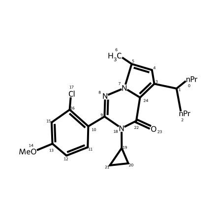 CCCC(CCC)c1cc(C)n2nc(-c3ccc(OC)cc3Cl)n(C3CC3)c(=O)c12